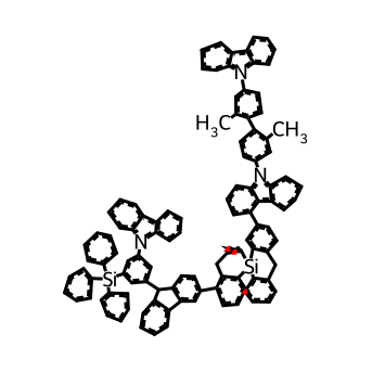 Cc1cc(-n2c3ccccc3c3ccccc32)ccc1-c1ccc(-n2c3ccccc3c3c(-c4ccc5c(c4)[Si]4(c6ccccc6C5)c5ccccc5Cc5c(-c6ccc7c(c6)-c6ccccc6C7c6cc(-n7c8ccccc8c8ccccc87)cc([Si](c7ccccc7)(c7ccccc7)c7ccccc7)c6)cccc54)cccc32)cc1C